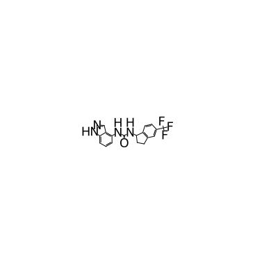 O=C(Nc1cccc2[nH]ncc12)NC1CCc2cc(C(F)(F)F)ccc21